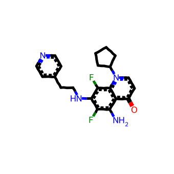 Nc1c(F)c(NCCc2ccncc2)c(F)c2c1c(=O)ccn2C1CCCC1